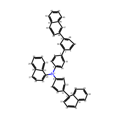 c1cc(-c2ccc(N(c3ccc(-c4cccc5ccccc45)cc3)c3cccc4ccccc34)cc2)cc(-c2ccc3ccccc3c2)c1